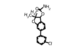 CC1(C)Oc2cc(-c3cccc(Cl)c3)ccc2C1OC(N)=O